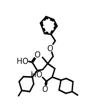 CC1CCC(C(CC(C)(COCc2ccccc2)CC(C(=O)O)C2CCC(C)CC2)C(=O)O)CC1